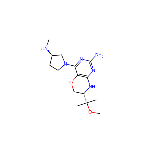 CN[C@@H]1CCN(c2nc(N)nc3c2OC[C@@H](C(C)(C)OC)N3)C1